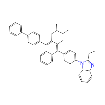 CCC1=NC2C=CC=CC2N1C1=CC=C(c2c3c(c(-c4ccc(-c5ccccc5)cc4)c4ccccc24)CC(C)C(C)C3)CC1